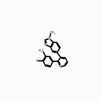 Cc1cc(-c2ncccc2-c2ccc3c(c2)ncn3C)ccc1F